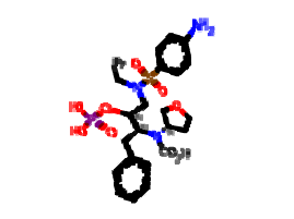 CC(C)CN(C[C@H](OP(=O)(O)O)[C@H](Cc1ccccc1)N(C(=O)O)[C@H]1CCOC1)S(=O)(=O)c1ccc(N)cc1